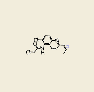 C/C=C\c1ccc2c(NC(=O)CCl)c(Cl)ccc2n1